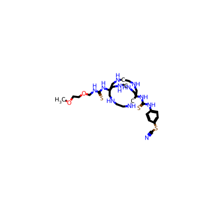 COCCOCNC(=S)NC12CNCCNCC(NC(=S)Nc3ccc(SC#N)cc3)(CNCCNC1)CNCCNC2